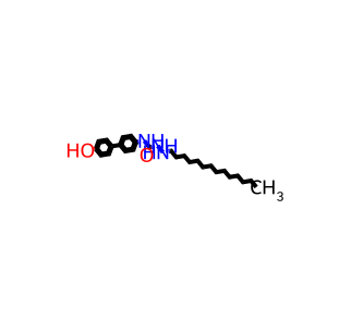 CCCCCCCCCCCCCCNNC(=O)Nc1ccc(-c2ccc(O)cc2)cc1